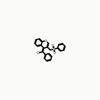 O=S(=O)(CC1=COc2ccccc2/C1=C(\Cl)c1ccccc1)c1ccccc1